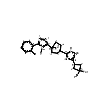 Cc1ccccc1-c1nnc(C23CCC(c4nnc(C5CC(F)(F)C5)o4)(CC2)CC3)n1C